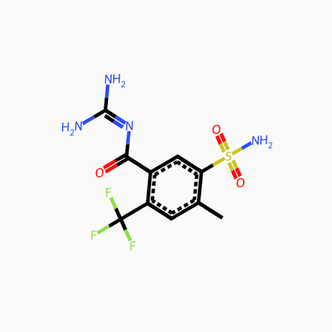 Cc1cc(C(F)(F)F)c(C(=O)N=C(N)N)cc1S(N)(=O)=O